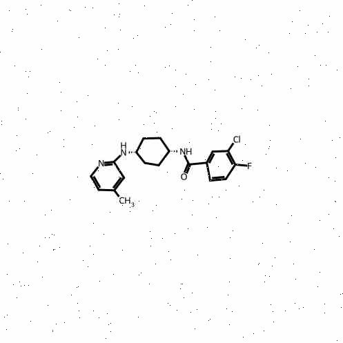 Cc1ccnc(N[C@H]2CC[C@@H](NC(=O)c3ccc(F)c(Cl)c3)CC2)c1